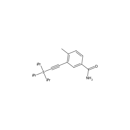 Cc1ccc(C(N)=O)cc1C#CS(C(C)C)(C(C)C)C(C)C